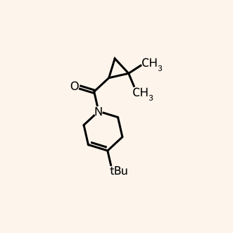 CC(C)(C)C1=CCN(C(=O)C2CC2(C)C)CC1